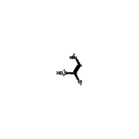 CCCCC=C(CC)S(=O)(=O)O